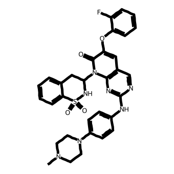 CN1CCN(c2ccc(Nc3ncc4cc(Oc5ccccc5F)c(=O)n(C5Cc6ccccc6S(=O)(=O)N5)c4n3)cc2)CC1